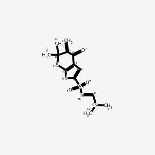 C=C1C(=O)c2cc(S(=O)(=O)N=CN(C)C)sc2SC1(C)C